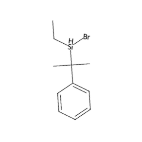 CC[SiH](Br)C(C)(C)c1ccccc1